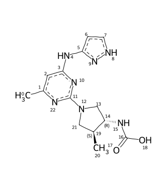 Cc1cc(Nc2cc[nH]n2)nc(N2C[C@H](NC(=O)O)[C@@H](C)C2)n1